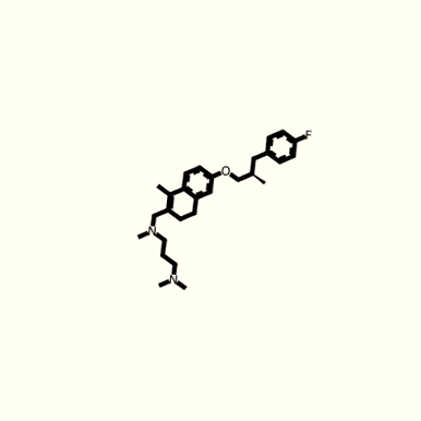 CC1=C(CN(C)CCCN(C)C)CCc2cc(OC[C@H](C)Cc3ccc(F)cc3)ccc21